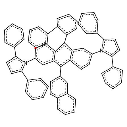 c1ccc(-c2ccccc2-c2c3ccc(-n4c(-c5ccccc5)ccc4-c4ccccc4)cc3c(-c3ccc4ccccc4c3)c3ccc(-n4c(-c5ccccc5)ccc4-c4ccccc4)cc23)cc1